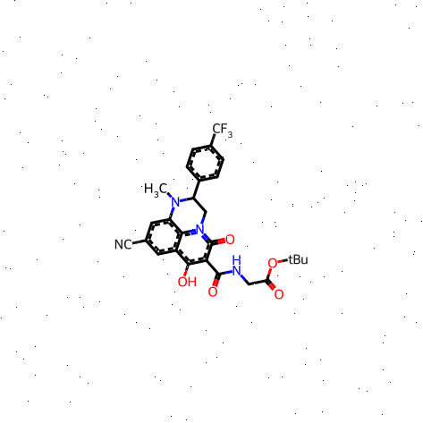 CN1c2cc(C#N)cc3c(O)c(C(=O)NCC(=O)OC(C)(C)C)c(=O)n(c23)CC1c1ccc(C(F)(F)F)cc1